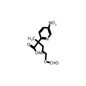 COC(=O)C(C)(CCCOC=O)c1ccc([N+](=O)[O-])cn1